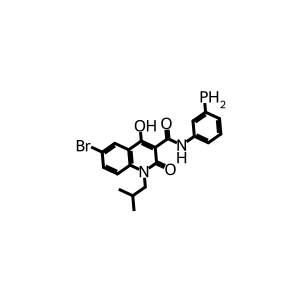 CC(C)Cn1c(=O)c(C(=O)Nc2cccc(P)c2)c(O)c2cc(Br)ccc21